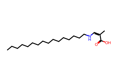 CCCCCCCCCCCCCCCCNC=C(C)C(=O)O